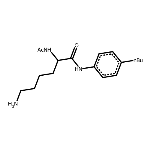 CCCCc1ccc(NC(=O)C(CCCCN)NC(C)=O)cc1